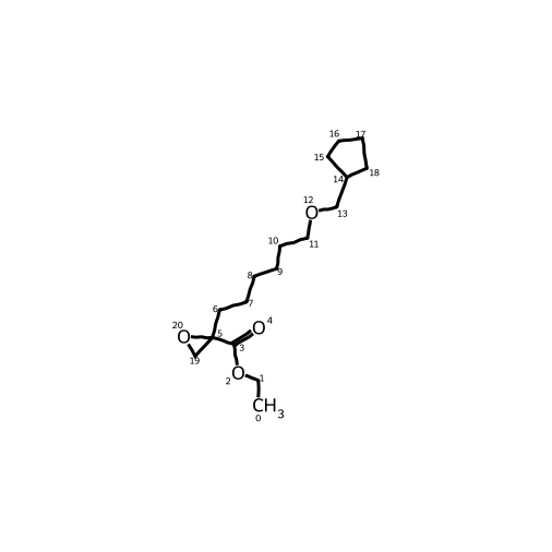 CCOC(=O)C1(CCCCCCOCC2CCCC2)CO1